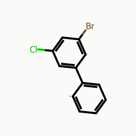 Clc1cc(Br)cc(-c2[c]cccc2)c1